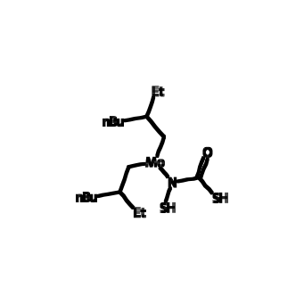 CCCCC(CC)[CH2][Mo]([CH2]C(CC)CCCC)[N](S)C(=O)S